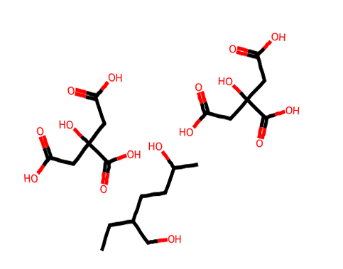 CCC(CO)CCC(C)O.O=C(O)CC(O)(CC(=O)O)C(=O)O.O=C(O)CC(O)(CC(=O)O)C(=O)O